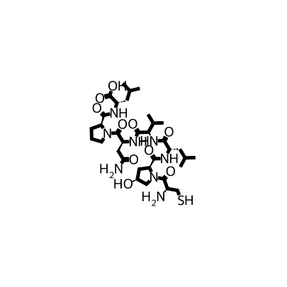 CC(C)C[C@H](NC(=O)[C@@H]1CCCN1C(=O)[C@H](CC(N)=O)NC(=O)[C@@H](NC(=O)[C@H](CC(C)C)NC(=O)[C@@H]1C[C@@H](O)CN1C(=O)[C@@H](N)CS)C(C)C)C(=O)O